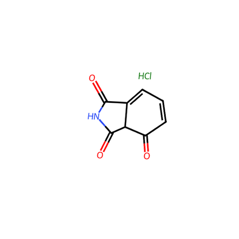 Cl.O=C1NC(=O)C2C(=O)C=CC=C12